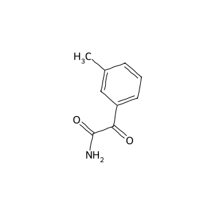 Cc1cccc(C(=O)C(N)=O)c1